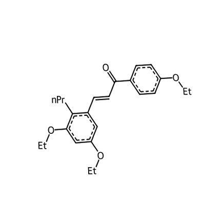 CCCc1c(C=CC(=O)c2ccc(OCC)cc2)cc(OCC)cc1OCC